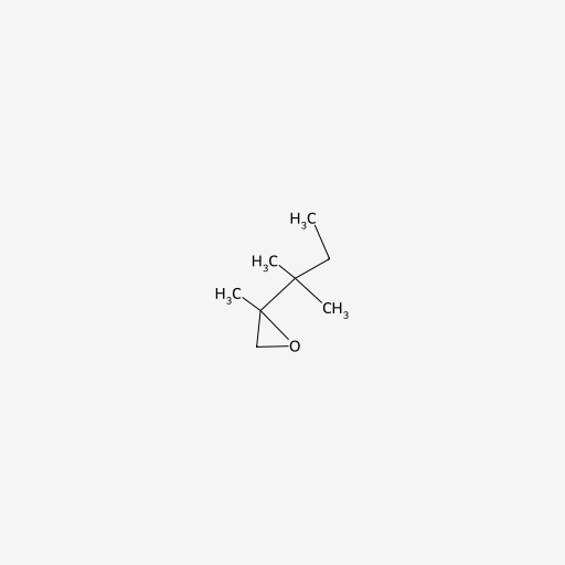 CCC(C)(C)C1(C)CO1